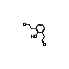 O=CCc1cccc(CC=O)c1O